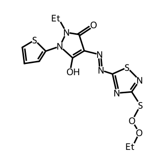 CCOOSc1nsc(N=Nc2c(O)n(-c3cccs3)n(CC)c2=O)n1